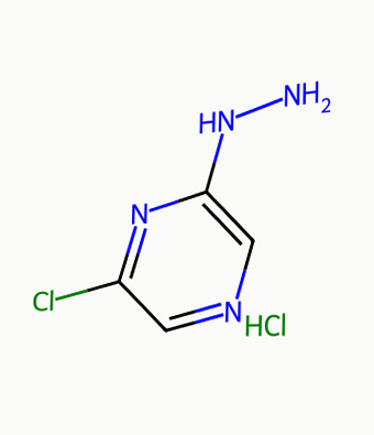 Cl.NNc1cncc(Cl)n1